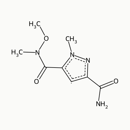 CON(C)C(=O)c1[c]c(C(N)=O)nn1C